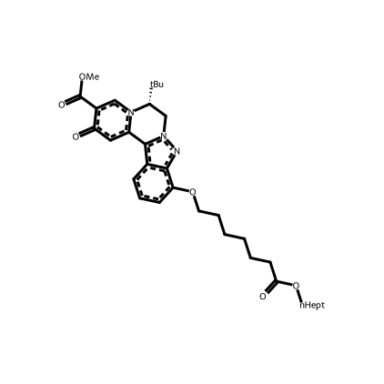 CCCCCCCOC(=O)CCCCCCOc1cccc2c3n(nc12)C[C@@H](C(C)(C)C)n1cc(C(=O)OC)c(=O)cc1-3